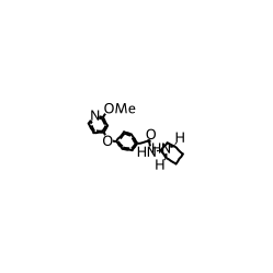 COc1cc(Oc2ccc(C(=O)N[C@@H]3C[C@H]4CC[C@@H]3N4)cc2)ccn1